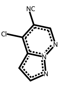 [C-]#[N+]c1cnn2nccc2c1Cl